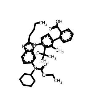 CCCCc1nc2ccc(N(C(=O)OCC)C3CCCCC3)cc2n1-c1ccc(-c2ccccc2C(=O)O)c(C)c1C(C)(C)C